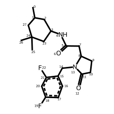 CC1CC(NC(=O)CC2CCC(=O)N2Cc2ccc(F)cc2F)CC(C)(C)C1